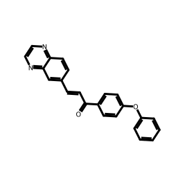 O=C(/C=C/c1ccc2nccnc2c1)c1ccc(Oc2ccccc2)cc1